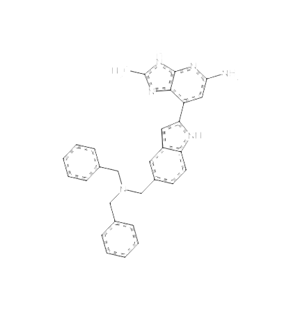 Cc1nc2c(-c3cc4cc(CN(Cc5ccccc5)Cc5ccccc5)ccc4[nH]3)cc(N)nc2[nH]1